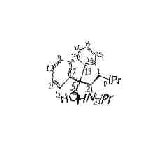 CC(C)C[C@@H](NC(C)C)C(O)(c1ccccc1)c1ccccc1